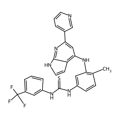 Cc1ccc(NC(=S)Nc2cccc(C(F)(F)F)c2)cc1Nc1cc(-c2cccnc2)nc2[nH]ccc12